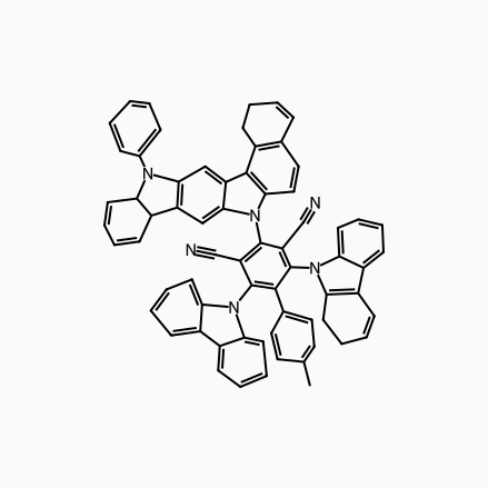 Cc1ccc(-c2c(-n3c4c(c5ccccc53)C=CCC4)c(C#N)c(-n3c4cc5c(cc4c4c6c(ccc43)C=CCC6)N(c3ccccc3)C3C=CC=CC53)c(C#N)c2-n2c3ccccc3c3ccccc32)cc1